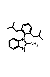 CC(C)Cc1cccc(CC(C)C)c1N1c2ccccc2N(I)C1N